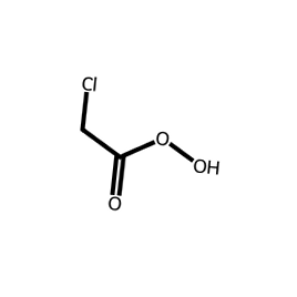 O=C(CCl)OO